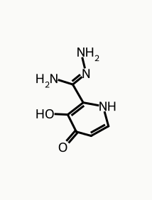 N/N=C(\N)c1[nH]ccc(=O)c1O